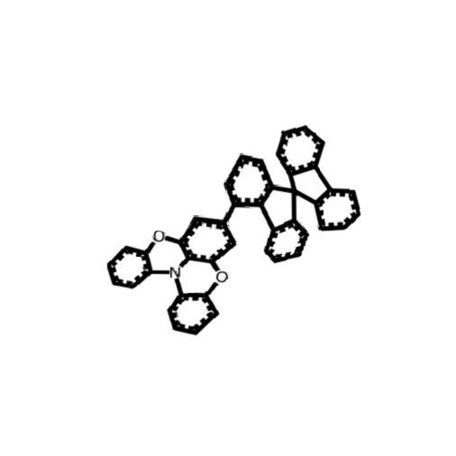 c1ccc2c(c1)Oc1cc(-c3cccc4c3-c3ccccc3C43c4ccccc4-c4ccccc43)cc3c1N2c1ccccc1O3